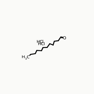 CCCCCCCCCCCC=O.Cl.Cl